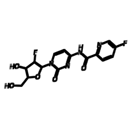 O=C(Nc1ccn(C2OC(CO)C(O)C2F)c(=O)n1)c1ccc(F)cn1